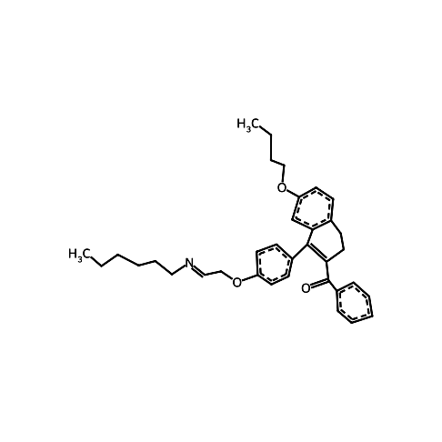 CCCCCCN=CCOc1ccc(C2=C(C(=O)c3ccccc3)CCc3ccc(OCCCC)cc32)cc1